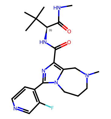 CNC(=O)[C@@H](NC(=O)c1nc(-c2ccncc2F)n2c1CN(C)CCC2)C(C)(C)C